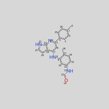 Cc1ccc(-c2cc(Nc3cc(NC=O)ccc3C)c3cc[nH]c3n2)cc1